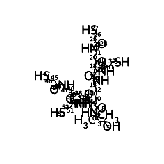 CC(C)(CCO)NC(=O)C(CCCCNC(=O)C(CCCCNC(=O)CCS)NC(=O)CCS)NC(=O)C(CCCCNC(=O)CCS)NC(=O)CCS